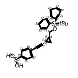 CC(C)(C)[Si](OC[C@H]1C[C@@H]1C#Cc1ccc(B(O)O)cc1)(c1ccccc1)c1ccccc1